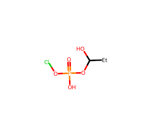 CCC(O)OP(=O)(O)OCl